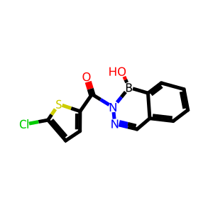 O=C(c1ccc(Cl)s1)N1N=Cc2ccccc2B1O